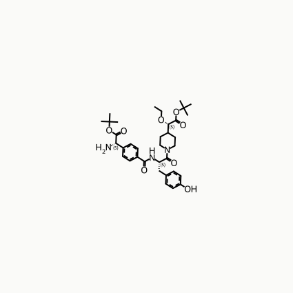 CCO[C@H](C(=O)OC(C)(C)C)C1CCN(C(=O)[C@H](Cc2ccc(O)cc2)NC(=O)c2ccc([C@H](N)C(=O)OC(C)(C)C)cc2)CC1